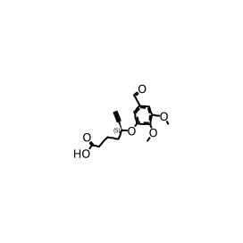 C#C[C@H](CCCC(=O)O)Oc1cc(C=O)cc(OC)c1OC